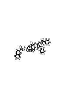 Cn1c(=O)n(CC(O)COC(=O)c2ccc3ccccc3c2)c(=O)n(CC(COC(=O)c2ccccc2)OC(=O)c2ccccc2)c1=O